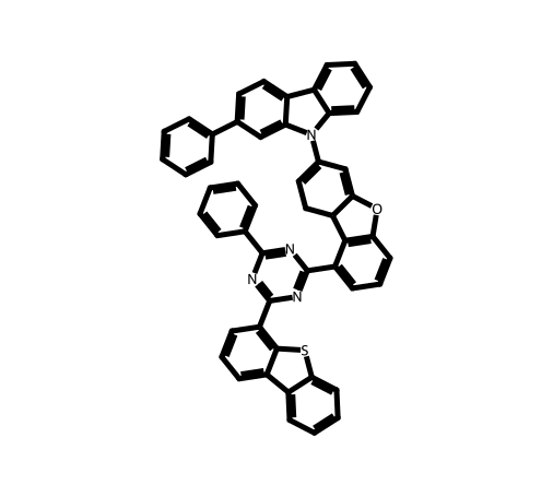 C1=C2Oc3cccc(-c4nc(-c5ccccc5)nc(-c5cccc6c5sc5ccccc56)n4)c3C2CC=C1n1c2ccccc2c2ccc(-c3ccccc3)cc21